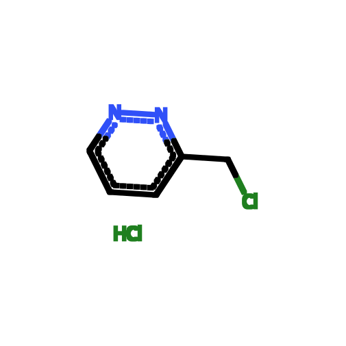 Cl.ClCc1cccnn1